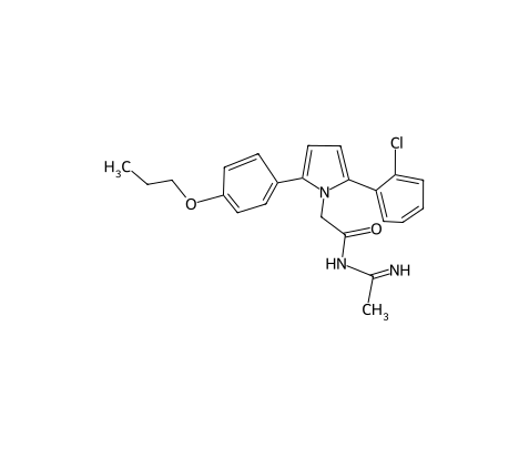 CCCOc1ccc(-c2ccc(-c3ccccc3Cl)n2CC(=O)NC(C)=N)cc1